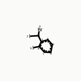 BrC(I)c1ccccc1I